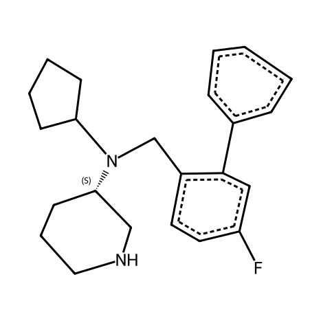 Fc1ccc(CN(C2CCCC2)[C@H]2CCCNC2)c(-c2ccccc2)c1